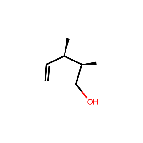 C=C[C@@H](C)[C@@H](C)CO